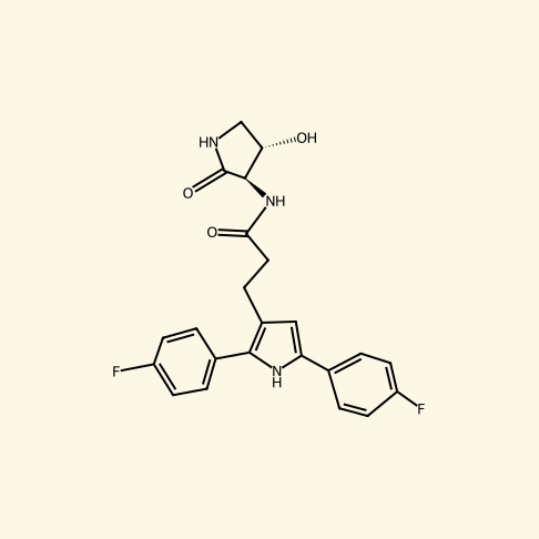 O=C(CCc1cc(-c2ccc(F)cc2)[nH]c1-c1ccc(F)cc1)N[C@H]1C(=O)NC[C@@H]1O